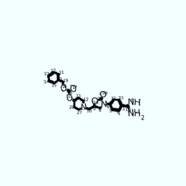 N=C(N)c1ccc(N2CC(CN3CCC(OC(=O)OCc4ccccc4)CC3)OC2=O)cc1